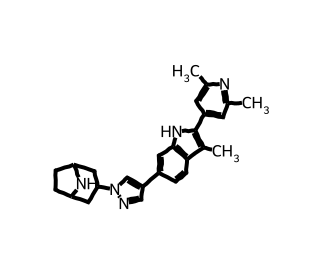 Cc1cc(-c2[nH]c3cc(-c4cnn(C5CC6CCC(C5)N6)c4)ccc3c2C)cc(C)n1